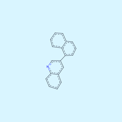 [c]1nc2ccccc2cc1-c1cccc2ccccc12